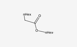 CCCCC[CH]OC(=O)CCCCCCC